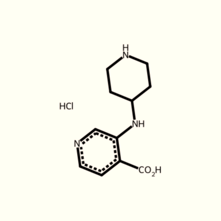 Cl.O=C(O)c1ccncc1NC1CCNCC1